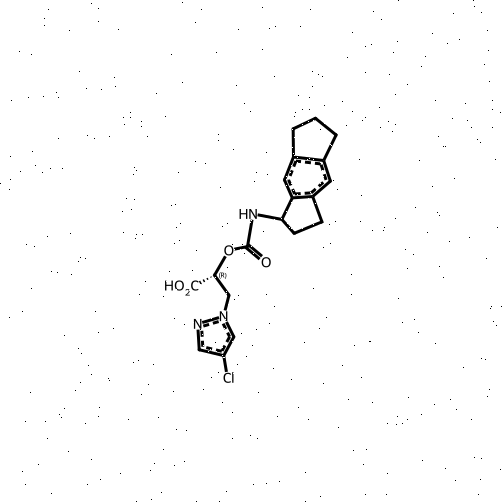 O=C(NC1CCc2cc3c(cc21)CCC3)O[C@H](Cn1cc(Cl)cn1)C(=O)O